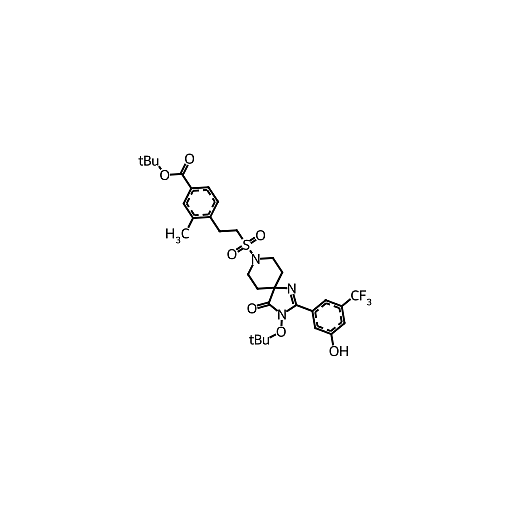 Cc1cc(C(=O)OC(C)(C)C)ccc1CCS(=O)(=O)N1CCC2(CC1)N=C(c1cc(O)cc(C(F)(F)F)c1)N(OC(C)(C)C)C2=O